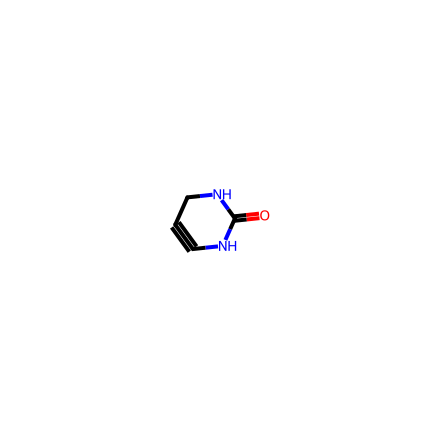 O=C1NC#CCN1